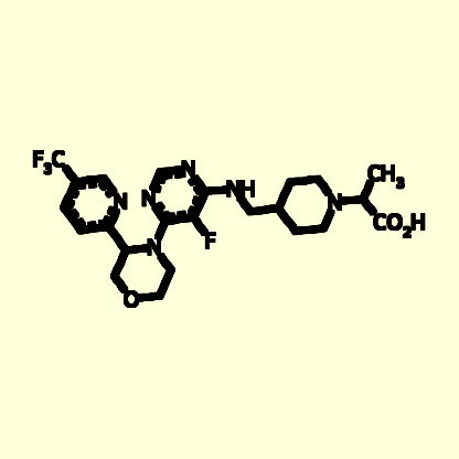 CC(C(=O)O)N1CCC(CNc2ncnc(N3CCOCC3c3ccc(C(F)(F)F)cn3)c2F)CC1